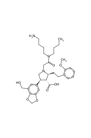 CCCCN(CCCCN)C(=O)CN1C[C@H](c2cc(CO)c3c(c2)OCO3)[C@@H](C(=O)O)[C@@H]1CCc1ccccc1OC